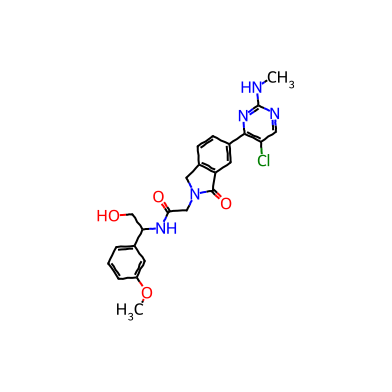 CNc1ncc(Cl)c(-c2ccc3c(c2)C(=O)N(CC(=O)NC(CO)c2cccc(OC)c2)C3)n1